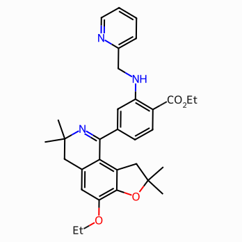 CCOC(=O)c1ccc(C2=NC(C)(C)Cc3cc(OCC)c4c(c32)CC(C)(C)O4)cc1NCc1ccccn1